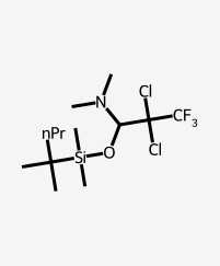 CCCC(C)(C)[Si](C)(C)OC(N(C)C)C(Cl)(Cl)C(F)(F)F